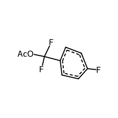 CC(=O)OC(F)(F)c1ccc(F)cc1